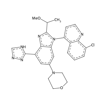 COC(C)c1nc2c(-c3nnc[nH]3)cc(N3CCOCC3)cc2n1-c1ccnc2c(Cl)cccc12